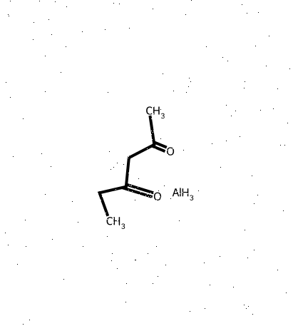 CCC(=O)CC(C)=O.[AlH3]